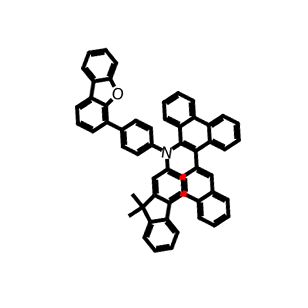 CC1(C)c2ccccc2-c2ccc(N(c3ccc(-c4cccc5c4oc4ccccc45)cc3)c3c(-c4ccc5ccccc5c4)c4ccccc4c4ccccc34)cc21